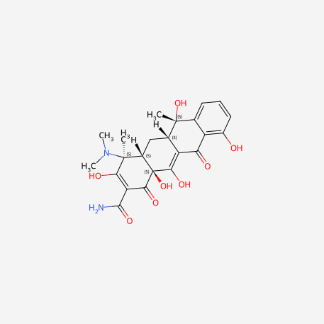 CN(C)[C@]1(C)C(O)=C(C(N)=O)C(=O)[C@@]2(O)C(O)=C3C(=O)c4c(O)cccc4[C@@](C)(O)[C@H]3C[C@H]21